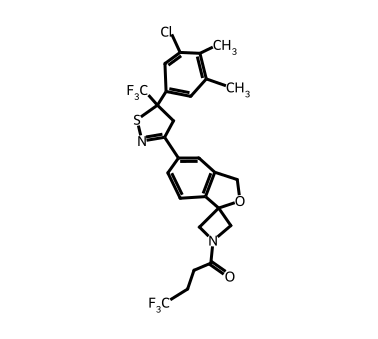 Cc1cc(C2(C(F)(F)F)CC(c3ccc4c(c3)COC43CN(C(=O)CCC(F)(F)F)C3)=NS2)cc(Cl)c1C